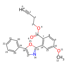 C#CCCOC(=O)c1ccc(OC)cc1-c1ncc(-c2ccccc2)o1